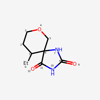 CCC1CCOCC12NC(=O)NC2=O